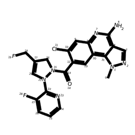 Cn1ncc2c(N)nc3cc(Cl)c(C(=O)N4CC(CF)=CN4c4ncccc4F)cc3c21